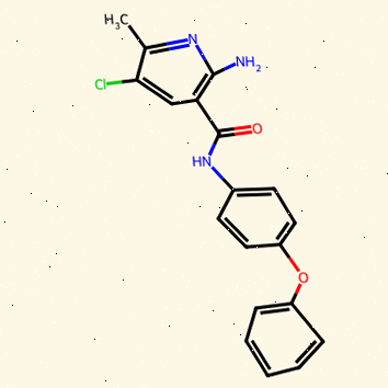 Cc1nc(N)c(C(=O)Nc2ccc(Oc3ccccc3)cc2)cc1Cl